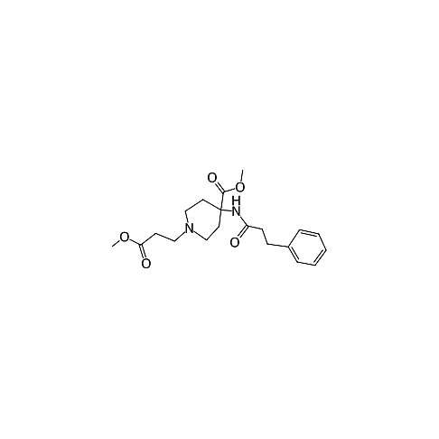 COC(=O)CCN1CCC(NC(=O)CCc2ccccc2)(C(=O)OC)CC1